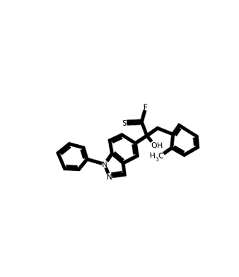 Cc1ccccc1CC(O)(C(F)=S)c1ccc2c(cnn2-c2ccccc2)c1